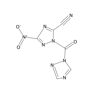 N#Cc1nc([N+](=O)[O-])nn1C(=O)n1cncn1